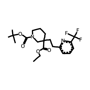 CCOC(=O)C1(CCc2cccc(C(F)(F)F)n2)CCCN(C(=O)OC(C)(C)C)C1